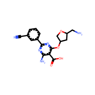 N#Cc1cccc(-c2nc(N)c(C(=O)O)c(OC3COC(CN)C3)n2)c1